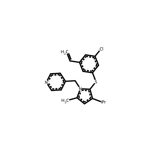 C=Cc1cc(Cl)cc(Sc2c(C(C)C)cc(C)n2Cc2ccncc2)c1